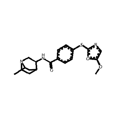 COc1cnc(Sc2ccc(C(=O)NC3CN4CCC3CC4C)cc2)o1